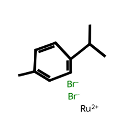 Cc1ccc(C(C)C)cc1.[Br-].[Br-].[Ru+2]